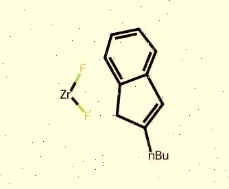 CCCCC1=Cc2ccccc2[CH]1.[F][Zr][F]